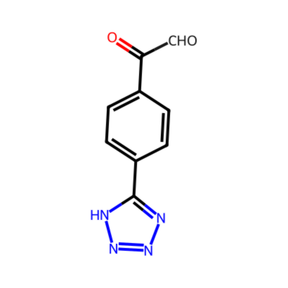 O=CC(=O)c1ccc(-c2nnn[nH]2)cc1